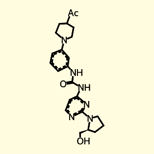 CC(=O)C1CCN(c2cccc(NC(=O)Nc3ccnc(N4CCC[C@H]4CO)n3)c2)CC1